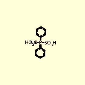 O=S(=O)(O)[PH](c1ccccc1)(c1ccccc1)S(=O)(=O)O.[NaH]